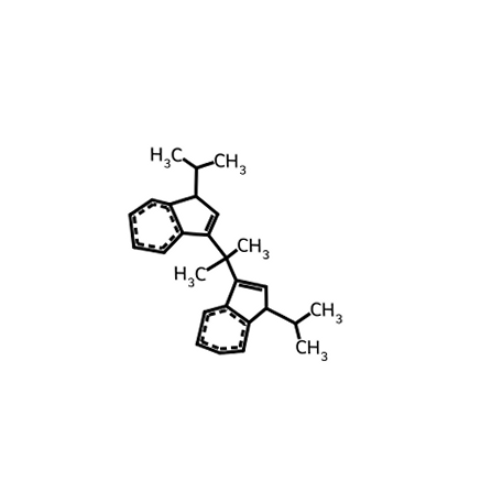 CC(C)C1C=C(C(C)(C)C2=CC(C(C)C)c3ccccc32)c2ccccc21